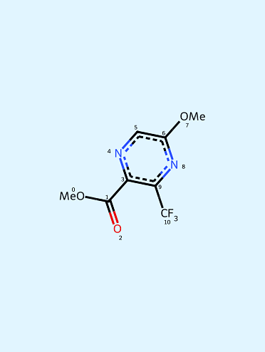 COC(=O)c1ncc(OC)nc1C(F)(F)F